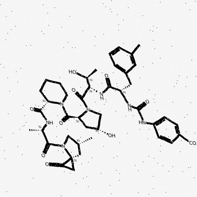 CCOC(=O)c1ccc(NC(=O)N[C@@H](Cc2cccc(C)c2)C(=O)N[C@H](C(=O)N2C[C@H](O)C[C@H]2C(=O)N2CCCC[C@H]2C(=O)N[C@@H](C)C(=O)N2C[C@H](C)C[C@@]23CC3=O)[C@H](C)O)cc1